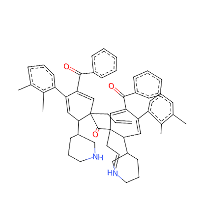 C=CCC1(C(=O)C2(CC=C)C=C(C(=O)c3ccccc3)C(c3cccc(C)c3C)=CC2C2CCCNC2)C=C(C(=O)c2ccccc2)C(c2cccc(C)c2C)=CC1C1CCCNC1